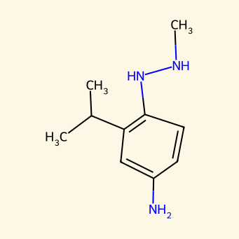 CNNc1ccc(N)cc1C(C)C